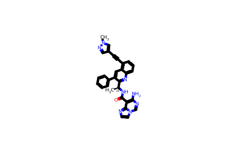 C[C@H](NC(=O)c1c(N)ncn2ccnc12)c1nc2cccc(C#Cc3cnn(C)c3)c2cc1-c1ccccc1